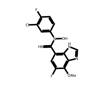 COc1c(F)cc(C(=N)N(O)c2ccc(F)c(Cl)c2)c2[nH]cnc12